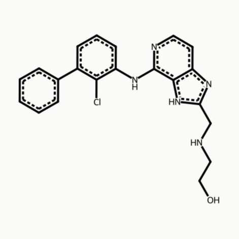 OCCNCc1nc2ccnc(Nc3cccc(-c4ccccc4)c3Cl)c2[nH]1